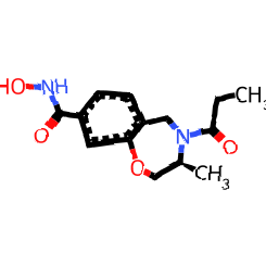 CCC(=O)N1Cc2ccc(C(=O)NO)cc2OC[C@@H]1C